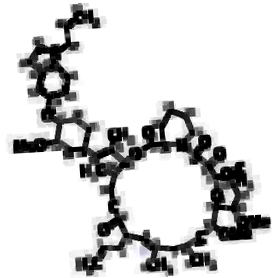 C=CCC1/C=C(\C)CC(C)CC(OC)C2OC(O)(C(=O)C(=O)N3CCCCC3C(=O)OC(C(C)=CC3CCC(Oc4ccc5c(ccn5CC=C)c4)C(OC)C3)C(C)CCC1=O)C(C)CC2OC